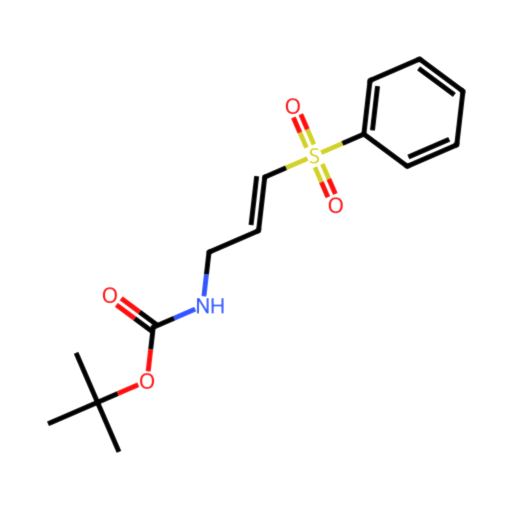 CC(C)(C)OC(=O)NC/C=C/S(=O)(=O)c1ccccc1